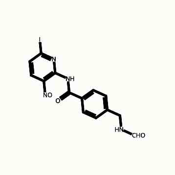 O=CNCc1ccc(C(=O)Nc2nc(I)ccc2N=O)cc1